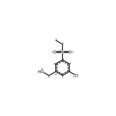 CCS(=O)(=O)c1cc(Cl)cc(CO)c1